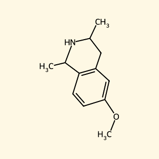 COc1ccc2c(c1)CC(C)NC2C